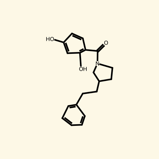 O=C(c1ccc(O)cc1O)N1CCC(CCc2ccccc2)C1